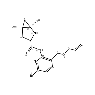 C=CCOCc1ccc(Br)nc1NC(=O)[C@@H]1C[C@@]2(C)C[C@H]2N1